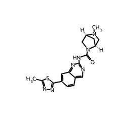 Cc1nnc(-c2ccc3cnc(NC(=O)N4C[C@@H]5C[C@H]4CN5C)nc3c2)s1